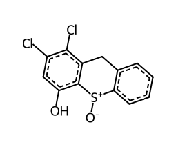 [O-][S+]1c2ccccc2Cc2c(Cl)c(Cl)cc(O)c21